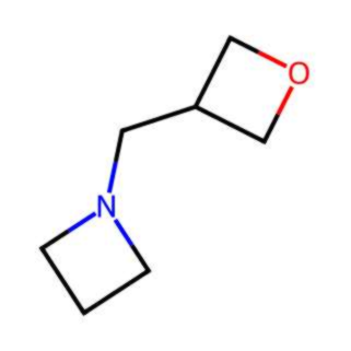 C1CN(CC2COC2)C1